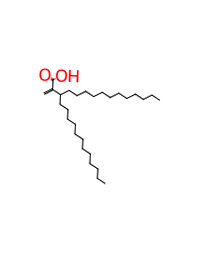 C=C(C(=O)O)C(CCCCCCCCCCCC)CCCCCCCCCCCC